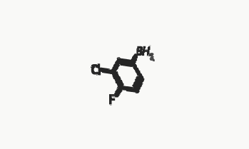 Bc1ccc(F)c(Cl)c1